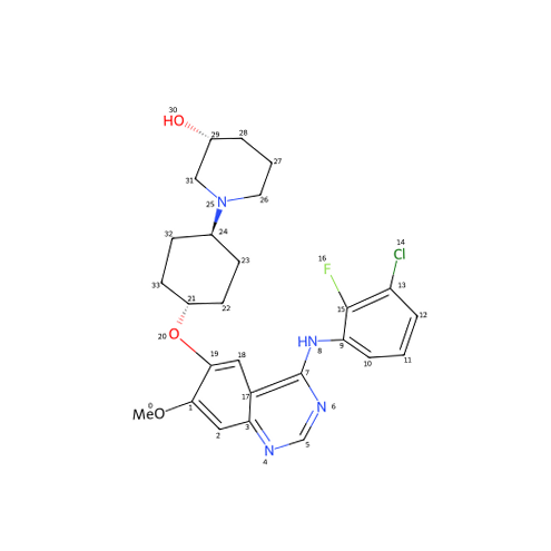 COc1cc2ncnc(Nc3cccc(Cl)c3F)c2cc1O[C@H]1CC[C@H](N2CCC[C@@H](O)C2)CC1